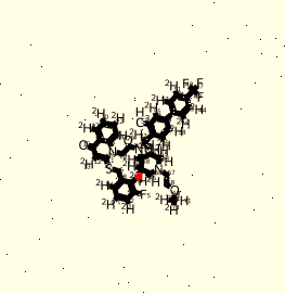 [2H]c1c([2H])c(F)c(F)c(CSc2c([2H])c(=O)c3c([2H])c([2H])c([2H])c([2H])c3n2CC(=O)N(C([2H])([2H])c2c([2H])c([2H])c(-c3c([2H])c([2H])c(C(F)(F)F)c([2H])c3[2H])c([2H])c2C)C2([2H])C([2H])([2H])C([2H])([2H])N(CCOC([2H])([2H])[2H])C([2H])([2H])C2([2H])[2H])c1[2H]